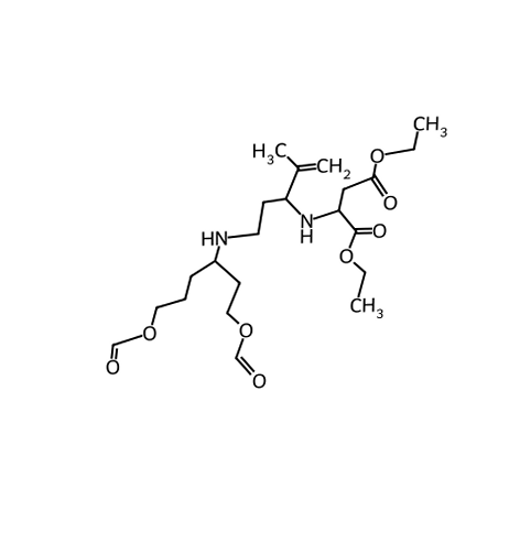 C=C(C)C(CCNC(CCCOC=O)CCOC=O)NC(CC(=O)OCC)C(=O)OCC